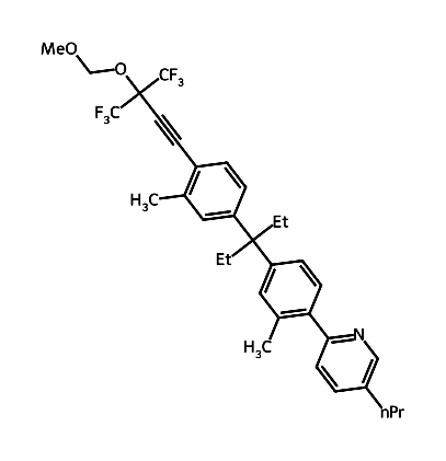 CCCc1ccc(-c2ccc(C(CC)(CC)c3ccc(C#CC(OCOC)(C(F)(F)F)C(F)(F)F)c(C)c3)cc2C)nc1